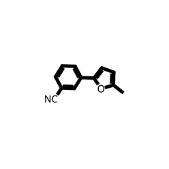 Cc1ccc(-c2cccc(C#N)c2)o1